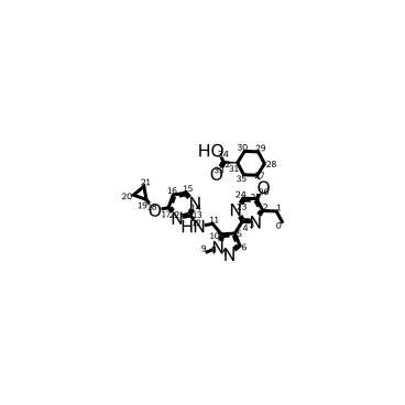 CCc1nc(-c2cnn(C)c2CNc2nccc(OC3CC3)n2)ncc1O[C@H]1CCC[C@H](C(=O)O)C1